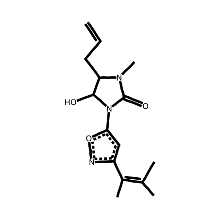 C=CCC1C(O)N(c2cc(C(C)=C(C)C)no2)C(=O)N1C